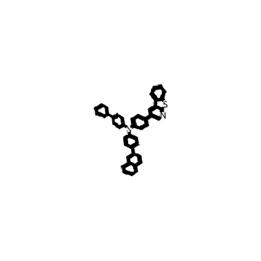 c1ccc(-c2ccc(N(c3ccc(-c4ccc5ccccc5c4)cc3)c3ccc(-c4cnc5sc6ccccc6c5c4)cc3)cc2)cc1